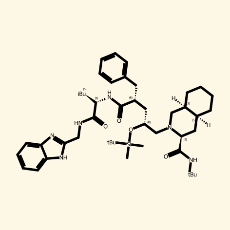 CC[C@H](C)[C@H](NC(=O)[C@H](Cc1ccccc1)C[C@H](CN1C[C@H]2CCCC[C@H]2C[C@H]1C(=O)NC(C)(C)C)O[Si](C)(C)C(C)(C)C)C(=O)NCc1nc2ccccc2[nH]1